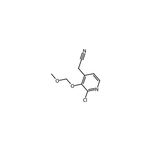 COCOc1c(CC#N)ccnc1Cl